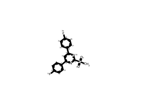 CS(=O)(=O)c1nc(-c2ccc(F)cc2)cc(-c2ccc(F)cc2)n1